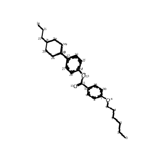 CCCCCCOc1ccc(C(=O)Oc2ccc(C3CCC(CCC)CC3)cc2)cc1